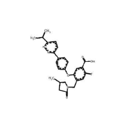 CC1CC(=O)N(Cc2cc(F)c(C(=O)O)cc2Oc2ccc(-c3ccc(C(C)C)nn3)cc2)C1